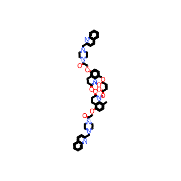 Cc1ccc(OCC(=O)N2CCN(Cc3ccc4ccccc4n3)CC2)c2c1N(OC(=O)/C=C\C(=O)ON1C(=O)CCc3c(OCC(=O)N4CCN(Cc5ccc6ccccc6n5)CC4)ccc(C)c31)C(=O)CC2